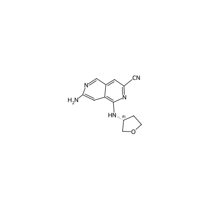 N#Cc1cc2cnc(N)cc2c(N[C@@H]2CCOC2)n1